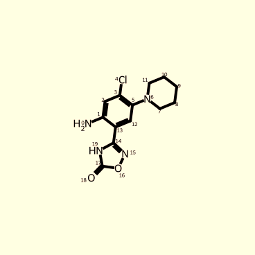 Nc1cc(Cl)c(N2CCCCC2)cc1-c1noc(=O)[nH]1